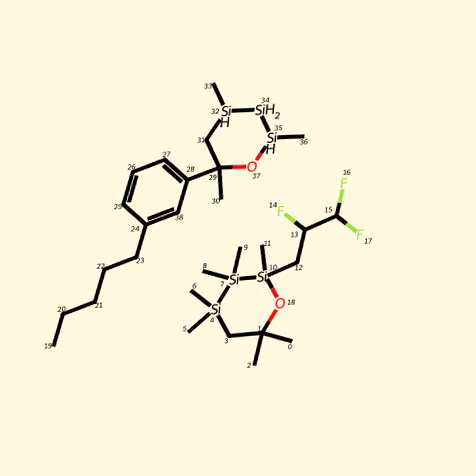 CC1(C)C[Si](C)(C)[Si](C)(C)[Si](C)(CC(F)C(F)F)O1.CCCCCc1cccc(C2(C)C[SiH](C)[SiH2][SiH](C)O2)c1